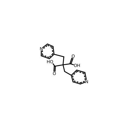 O=C(O)C(Cc1ccncc1)(Cc1ccncc1)C(=O)O